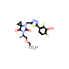 C[C@H](COCC(=O)O)N1C(=O)N(Cc2nnc(-c3ccc(F)c(O)c3F)s2)C2(CC2)C1=O